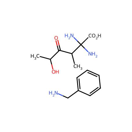 CC(O)C(=O)C(C)C(N)(N)C(=O)O.NCc1ccccc1